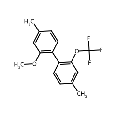 COc1cc(C)ccc1-c1ccc(C)cc1OC(F)(F)F